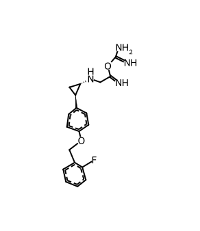 N=C(N)OC(=N)CN[C@H]1C[C@@H]1c1ccc(OCc2ccccc2F)cc1